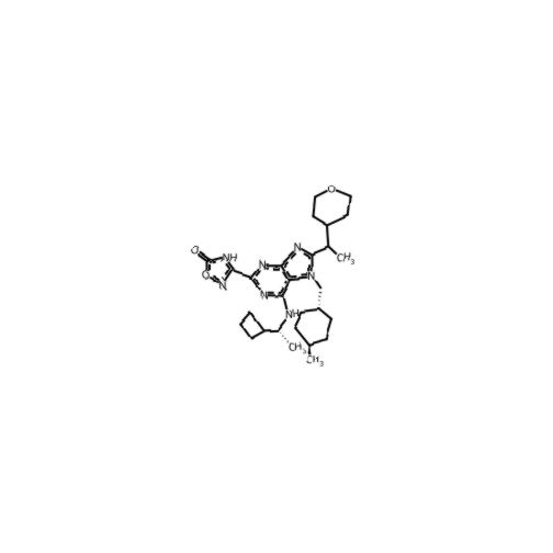 CC(c1nc2nc(-c3noc(=O)[nH]3)nc(N[C@H](C)C3CCC3)c2n1C[C@H]1CC[C@H](C)CC1)C1CCOCC1